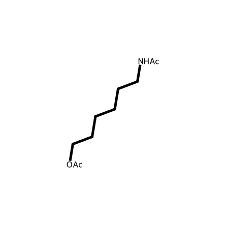 CC(=O)NCCCCCCOC(C)=O